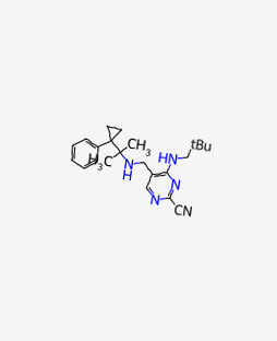 CC(C)(C)CNc1nc(C#N)ncc1CNC(C)(C)C1(c2ccccc2)CC1